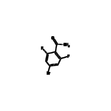 BC(=O)c1c(F)cc(Br)cc1F